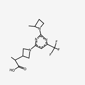 CC(C(=O)O)C1CN(c2cc(C(F)(F)F)nc(N3CCC3C)n2)C1